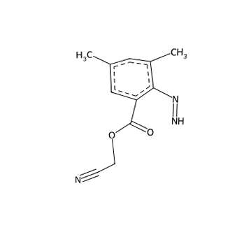 Cc1cc(C)c(N=N)c(C(=O)OCC#N)c1